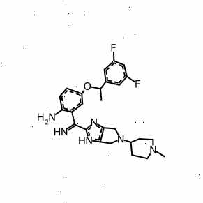 CC(Oc1ccc(N)c(C(=N)c2nc3c([nH]2)CN(C2CCN(C)CC2)C3)c1)c1cc(F)cc(F)c1